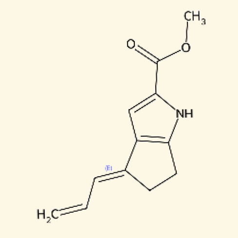 C=C/C=C1\CCc2[nH]c(C(=O)OC)cc21